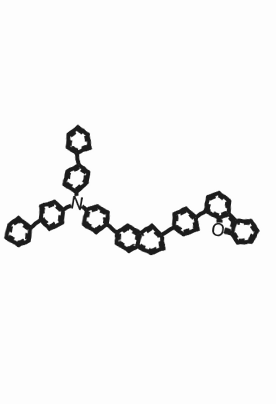 c1ccc(-c2ccc(N(c3ccc(-c4ccccc4)cc3)c3ccc(-c4ccc5ccc(-c6ccc(-c7cccc8c7oc7ccccc78)cc6)cc5c4)cc3)cc2)cc1